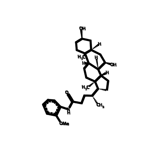 COc1ccccc1NC(=O)CC[C@@H](C)[C@H]1CC[C@H]2[C@@H]3[C@H](O)C[C@@H]4C[C@H](O)CC[C@]4(C)[C@H]3CC[C@]12C